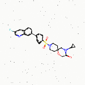 O=C1COC2(CCN(S(=O)(=O)c3ccc(-c4ccc5cc(F)cnc5c4)cc3)CC2)CN1C1CC1